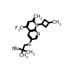 C=C1C=C(C(F)(F)F)c2cc(SCC(C)(C)C(C)(C)C)cnc2N1C1CC(C)C1